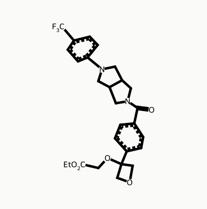 CCOC(=O)COC1(c2ccc(C(=O)N3CC4CN(c5ccc(C(F)(F)F)cc5)CC4C3)cc2)COC1